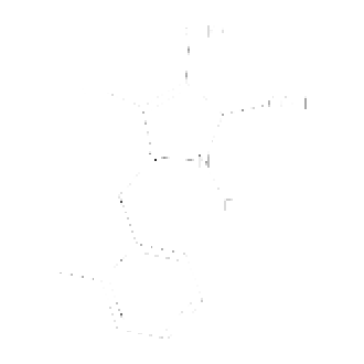 CCN1C(C(=O)O)C(C=O)=C(Cl)N1Cc1ccccc1F